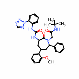 COc1ccccc1C1CC(NC(=O)Nc2ccccc2-n2ncnn2)C(=O)N(CC(=O)NC(C)(C)C)C(c2ccccc2)C1